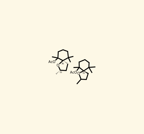 CC(=O)OC1(C)CCCC(C)(C)[C@@]12CCC(C)O2.CC(=O)OC1(C)CCCC(C)(C)[C@]12CC[C@H](C)O2